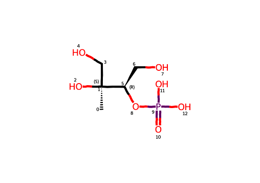 C[C@](O)(CO)[C@@H](CO)OP(=O)(O)O